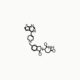 O=C1CCC(N2Cc3cc(CN4CC=C(c5ncnc6sccc56)CC4)ccc3C2=O)C(=O)N1